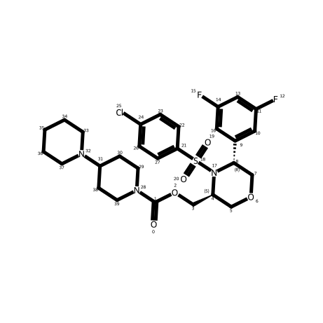 O=C(OC[C@@H]1COC[C@@H](c2cc(F)cc(F)c2)N1S(=O)(=O)c1ccc(Cl)cc1)N1CCC(N2CCCCC2)CC1